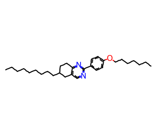 CCCCCCCCCC1CCc2nc(-c3ccc(OCCCCCCC)cc3)ncc2C1